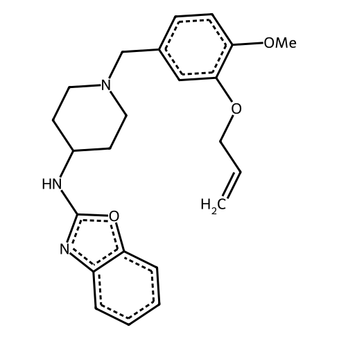 C=CCOc1cc(CN2CCC(Nc3nc4ccccc4o3)CC2)ccc1OC